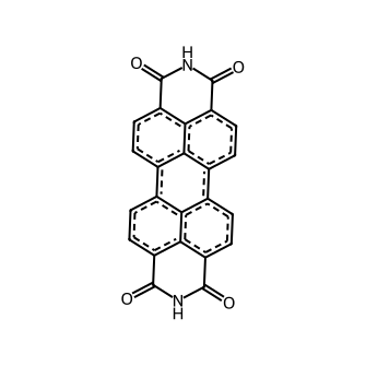 O=C1NC(=O)c2ccc3c4ccc5c6c(ccc(c7ccc1c2c73)c64)C(=O)NC5=O